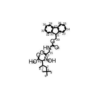 CC(CC(C)(C)C)C(C(=O)O)N(O)C(=O)CNC(=O)OCC1c2ccccc2-c2ccccc21